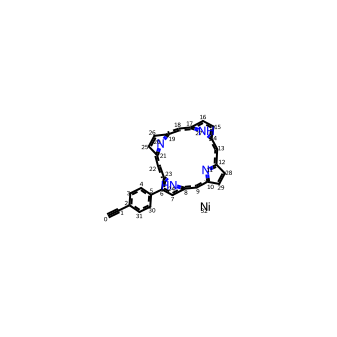 C#Cc1ccc(-c2cc3cc4nc(cc5ccc(cc6nc(cc2[nH]3)C=C6)[nH]5)C=C4)cc1.[Ni]